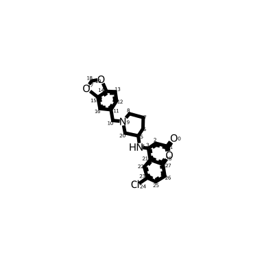 O=c1cc(NC2CCCN(Cc3ccc4c(c3)OCO4)C2)c2cc(Cl)ccc2o1